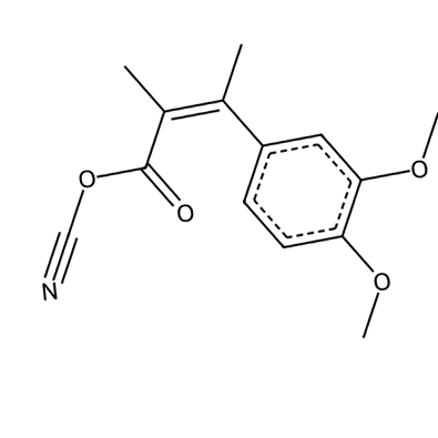 COc1ccc(C(C)=C(C)C(=O)OC#N)cc1OC